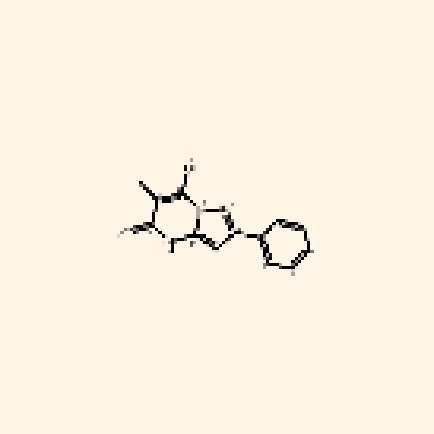 Cc1c(O)n2nc(-c3ccccc3)cc2[nH]c1=O